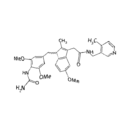 COc1ccc2c(c1)C(CC(=O)NCc1cnccc1C)=C(C)/C2=C/c1cc(OC)c(NC(N)=O)c(OC)c1